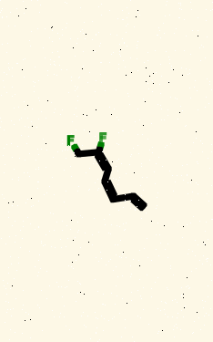 C=C/C=C\C=C(\F)CF